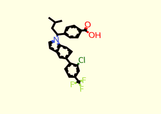 CC(C)CC(c1ccc(C(=O)O)cc1)n1ccc2cc(-c3ccc(C(F)(F)F)cc3Cl)ccc21